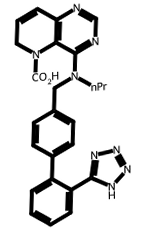 CCCN(Cc1ccc(-c2ccccc2-c2nnn[nH]2)cc1)c1ncnc2c1N(C(=O)O)CC=C2